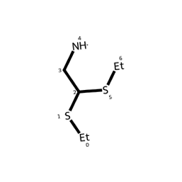 CCSC(C[NH])SCC